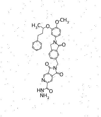 COc1ccc(N2Cc3ccc(CN4C(=O)c5cnc(C(=O)NN)cc5C4=O)cc3C2=O)cc1OC(C)CCc1ccccc1